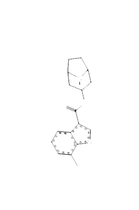 Cc1cccc2c(C(=O)OC3CC4CCC(C3)N4C)c[nH]c12